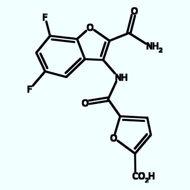 NC(=O)c1oc2c(F)cc(F)cc2c1NC(=O)c1ccc(C(=O)O)o1